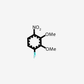 COc1c(F)ccc([N+](=O)[O-])c1OC